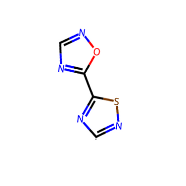 [c]1nsc(-c2ncno2)n1